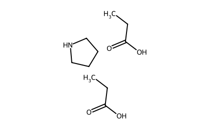 C1CCNC1.CCC(=O)O.CCC(=O)O